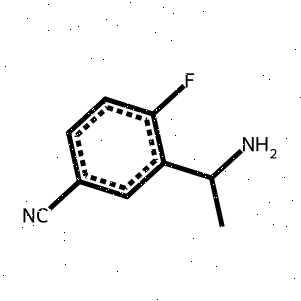 CC(N)c1cc(C#N)ccc1F